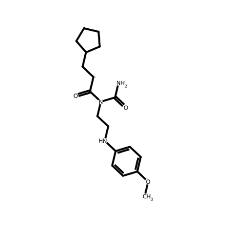 COc1ccc(NCCN(C(N)=O)C(=O)[CH]CC2CCCC2)cc1